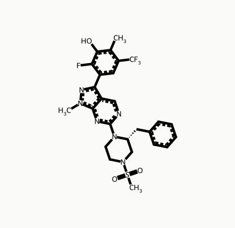 Cc1c(C(F)(F)F)cc(-c2nn(C)c3nc(N4CCN(S(C)(=O)=O)C[C@H]4Cc4ccccc4)ncc23)c(F)c1O